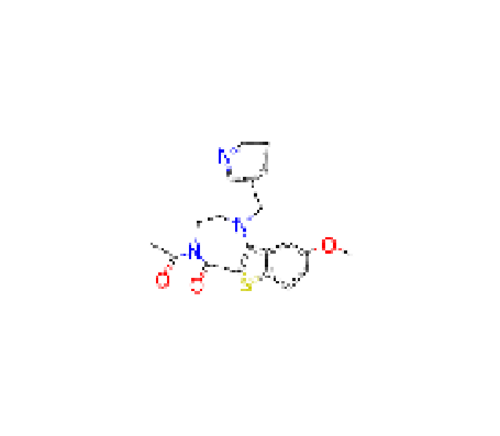 COc1ccc2sc3c(c2c1)N(Cc1cccnc1)CCN(C(C)=O)C3=O